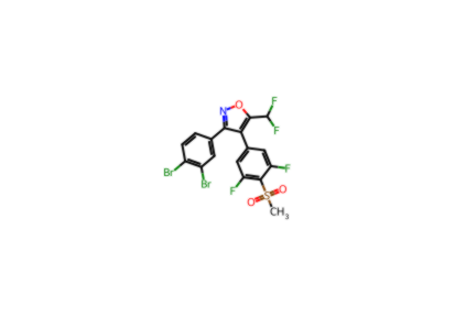 CS(=O)(=O)c1c(F)cc(-c2c(-c3ccc(Br)c(Br)c3)noc2C(F)F)cc1F